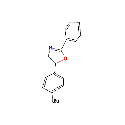 CC(C)(C)c1ccc(C2CN=C(c3ccccc3)O2)cc1